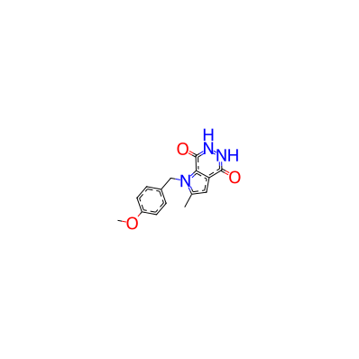 COc1ccc(Cn2c(C)cc3c(=O)[nH][nH]c(=O)c32)cc1